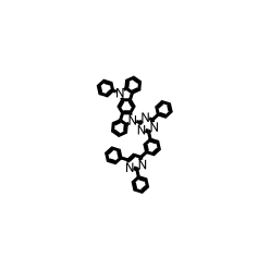 c1ccc(-c2cc(-c3cccc(-c4nc(-c5ccccc5)nc(-n5c6ccccc6c6cc7c(cc65)c5ccccc5n7-c5ccccc5)n4)c3)nc(-c3ccccc3)n2)cc1